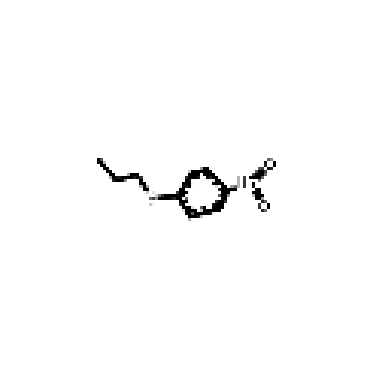 CCCSc1ccc([SH](=O)=O)cc1